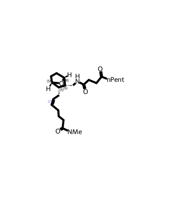 CCCCCC(=O)CCC(=O)NC[C@@H]1[C@H](C/C=C\CCCC(=O)NC)[C@@H]2CC[C@H]1O2